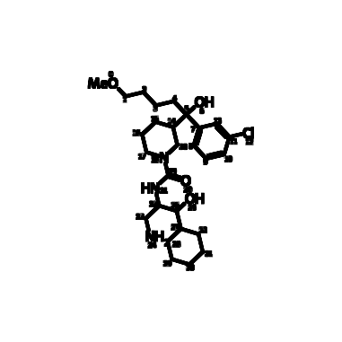 COCCCCC(O)(c1cccc(Cl)c1)C1CCCN(C(=O)NC(CN)C(O)C2CCCCC2)C1